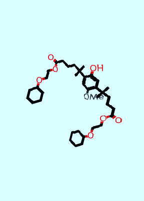 COc1cc(C(C)(C)CCCC(=O)OCCOC2CCCCC2)c(O)cc1C(C)(C)CCCC(=O)OCCOC1CCCCC1